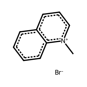 C[n+]1cccc2ccccc21.[Br-]